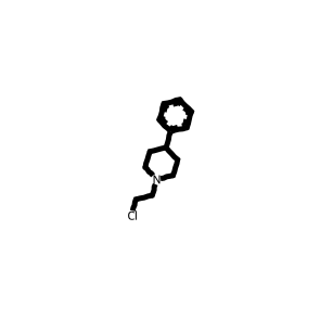 ClCCN1CCC(c2ccccc2)CC1